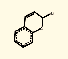 [Li][CH]1C=Cc2ccccc2S1